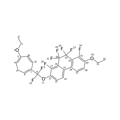 CCOC1=CCC=C(C(F)(F)Oc2ccc3c(c2F)C(F)(F)C(F)(F)c2c-3ccc(OCC)c2F)C=C1